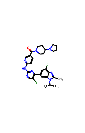 Cc1nc2c(F)cc(-c3nc(Nc4ccc(C(=O)N5CCC(N6CCCC6)CC5)cn4)ncc3F)cc2n1C(C)C